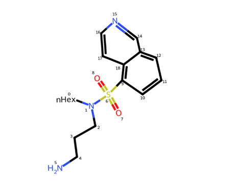 CCCCCCN(CCCN)S(=O)(=O)c1cccc2cnccc12